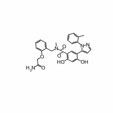 Cc1ccccc1-n1nccc1-c1cc(S(=O)(=O)N(C)Cc2ccccc2OCC(N)=O)c(O)cc1O